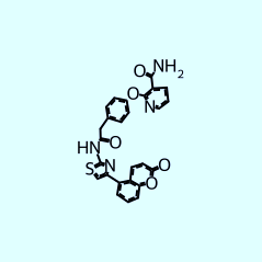 NC(=O)c1cccnc1Oc1ccc(CC(=O)Nc2nc(-c3cccc4oc(=O)ccc34)cs2)cc1